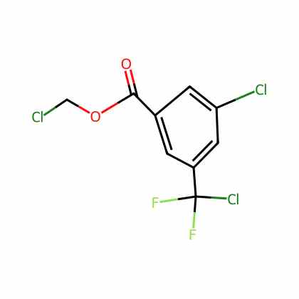 O=C(OCCl)c1cc(Cl)cc(C(F)(F)Cl)c1